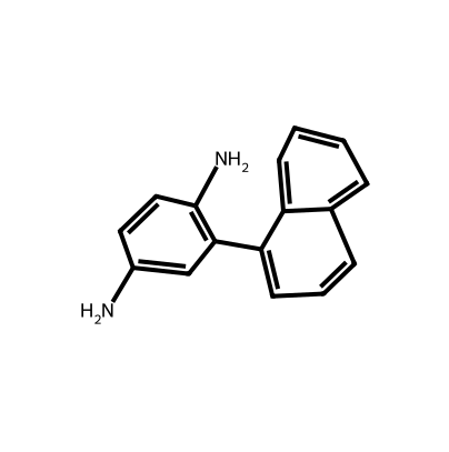 Nc1ccc(N)c(-c2cccc3ccccc23)c1